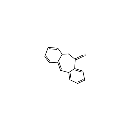 O=C1CC2C=CC=CC2=Cc2ccccc21